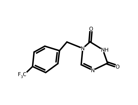 O=c1ncn(Cc2ccc(C(F)(F)F)cc2)c(=O)[nH]1